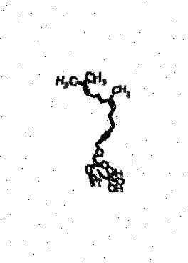 CC(C)=CCCC(C)=CCCC#CCOCP(=O)(CP(=O)(O)O)OC(C)C